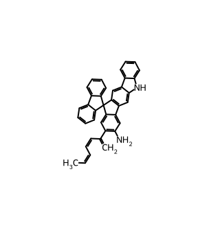 C=C(/C=C\C=C/C)c1cc2c(cc1N)-c1cc3[nH]c4ccccc4c3cc1C21c2ccccc2-c2ccccc21